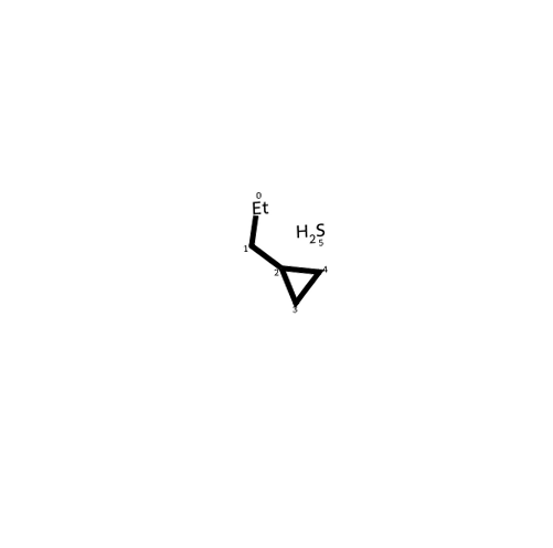 CCCC1CC1.S